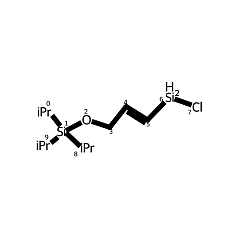 CC(C)[Si](OCC=C[SiH2]Cl)(C(C)C)C(C)C